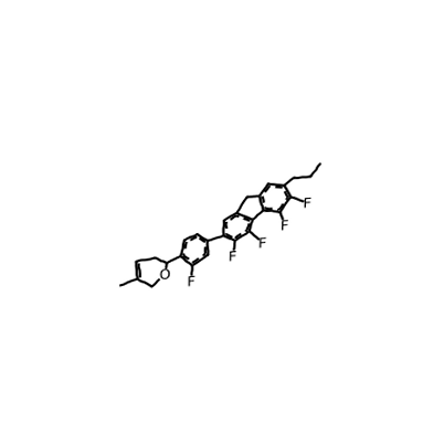 CCCc1cc2c(c(F)c1F)-c1c(cc(-c3ccc(C4CC=C(C)CO4)c(F)c3)c(F)c1F)C2